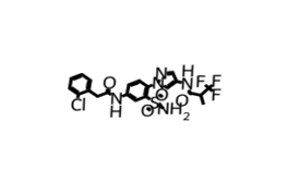 CC(C(=O)Nc1cnn(-c2ccc(NC(=O)Cc3ccccc3Cl)cc2S(N)(=O)=O)c1)C(F)(F)F